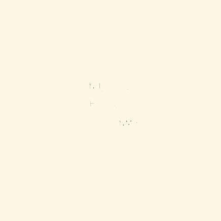 CNC(=O)PN